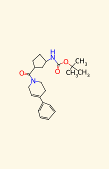 CC(C)(C)OC(=O)NC1CCC(C(=O)N2CC=C(c3ccccc3)CC2)C1